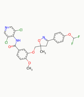 COc1ccc(C(=O)Nc2c(Cl)cncc2Cl)cc1OCC1(C)CC(c2ccc(OC(F)F)cc2)=NO1